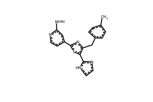 CC(=O)Nc1cc(-c2nc(Cc3ccc(C)cc3)c(-c3ncc[nH]3)s2)ccn1